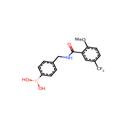 COc1ccc(C(F)(F)F)cc1C(=O)NCc1ccc(B(O)O)cc1